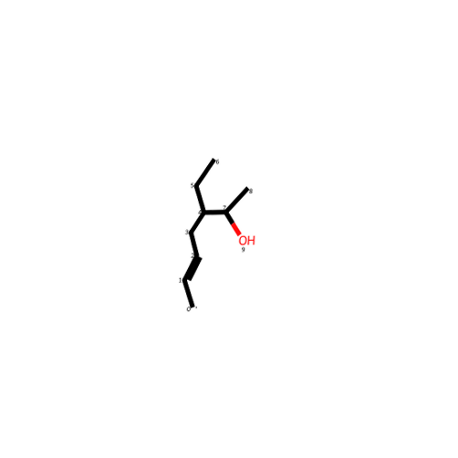 [CH2]C=CCC(CC)C(C)O